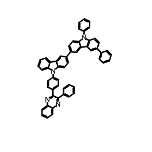 c1ccc(-c2ccc3c(c2)c2cc(-c4ccc5c(c4)c4ccccc4n5-c4ccc(-c5nc6ccccc6nc5-c5ccccc5)cc4)ccc2n3-c2ccccc2)cc1